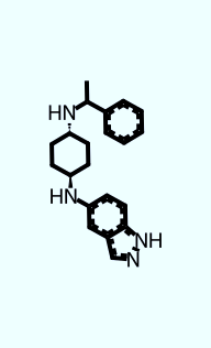 CC(N[C@H]1CC[C@H](Nc2ccc3[nH]ncc3c2)CC1)c1ccccc1